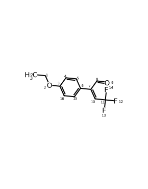 CCOc1ccc(C(C=O)=CC(F)(F)F)cc1